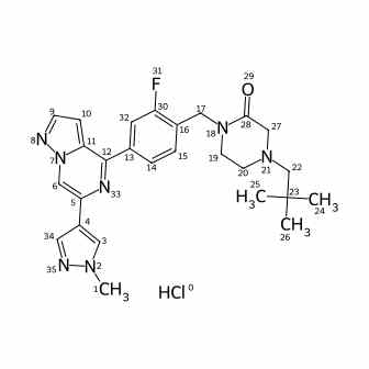 Cl.Cn1cc(-c2cn3nccc3c(-c3ccc(CN4CCN(CC(C)(C)C)CC4=O)c(F)c3)n2)cn1